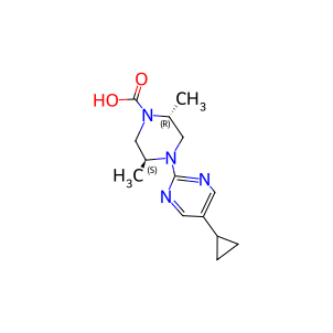 C[C@@H]1CN(c2ncc(C3CC3)cn2)[C@@H](C)CN1C(=O)O